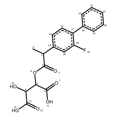 CC(C(=O)OC(C(=O)O)C(O)C(=O)O)c1ccc(-c2ccccc2)c(F)c1